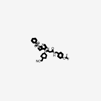 N#CCC1CCC(n2c(CC(=O)NCc3ccc(OC(F)F)cc3)nc3cnc4c(ccn4S(=O)(=O)c4ccccc4)c32)CC1